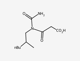 CCCCC(C)CN(C(N)=O)C(=O)CC(=O)O